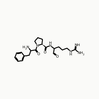 N=C(N)NCCCC(C=O)NC(=O)[C@@H]1CCCN1C(=O)C(N)Cc1ccccc1